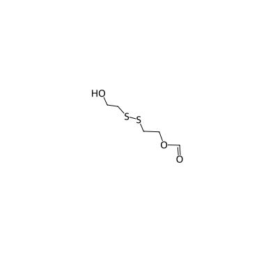 O=COCCSSCCO